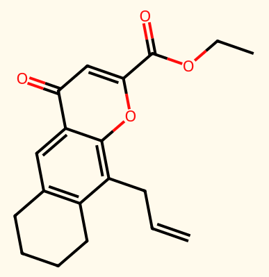 C=CCc1c2c(cc3c(=O)cc(C(=O)OCC)oc13)CCCC2